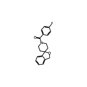 O=C(c1ccc(F)cc1)N1CCC2(CC1)OCc1ccccc12